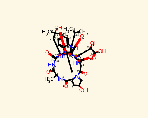 CC1NC(=O)C2CC(O)CN2C(=O)C2CSc3[nH]c4ccccc4c3CC(NC1=O)C(=O)NC(CC(C)(C)O)C(=O)NC(C(C)C)C(=O)NC(C(O)C(=O)O)C(=O)N2